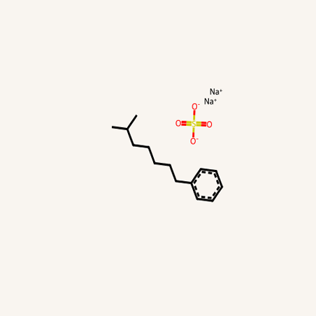 CC(C)CCCCCc1ccccc1.O=S(=O)([O-])[O-].[Na+].[Na+]